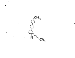 CCCCCCCC1(C#N)CCCC([C@H]2CC[C@H]([C@H]3CC[C@H](CC)CC3)CC2)C1